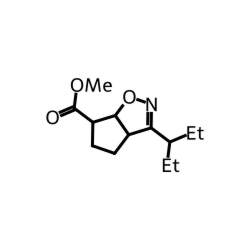 CCC(CC)C1=NOC2C(C(=O)OC)CCC12